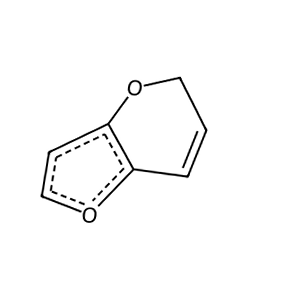 C1=Cc2occc2OC1